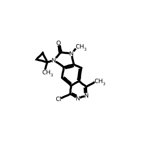 Cc1nnc(Cl)c2cc3c(cc12)n(C)c(=O)n3C1(C)CC1